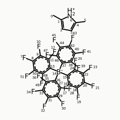 CC1=CC=C(C)[NH2+]1.Fc1c(F)c(F)c([B-](c2c(F)c(F)c(F)c(F)c2F)(c2c(F)c(F)c(F)c(F)c2F)c2c(F)c(F)c(F)c(F)c2F)c(F)c1F